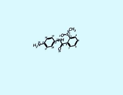 C[S+]([O-])c1ccccc1C(=O)Nc1ccc(N)cc1